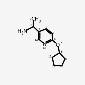 CC(N)c1ccc(OC2CCCC2)nc1